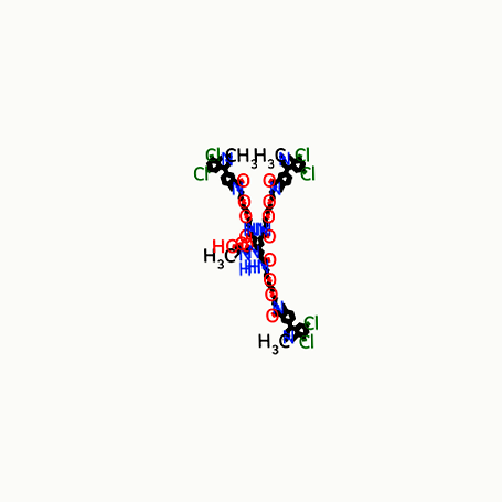 CC[C@H](NC(=O)NC(CCC(=O)NCCOCCOCCN1Cc2ccc(C3CN(C)Cc4c(Cl)cc(Cl)cc43)cc2C1=O)(CCC(=O)NCCOCCOCCN1Cc2ccc(C3CN(C)Cc4c(Cl)cc(Cl)cc43)cc2C1=O)CCC(=O)NCCOCCOCCN1Cc2ccc(C3CN(C)Cc4c(Cl)cc(Cl)cc43)cc2C1=O)C(=O)O